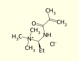 C=C(C)C(=O)N[C@@H](CC)[N+](C)(C)C.[Cl-]